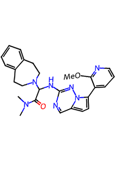 COc1ncccc1-c1ccc2cnc(NC(C(=O)N(C)C)N3CCc4ccccc4CC3)nn12